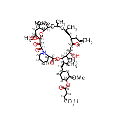 C=CCC1C=C(C)CC(C)CC(OC)C2OC(O)(C(=O)C(=O)N3CCCCC3C(=O)OC(C(C)=CC3CCC(OC(=O)CCC(=O)O)C(OC)C3)C(C)C(O)CC1=O)C(C)CC2OC